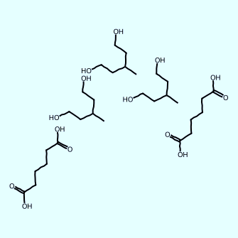 CC(CCO)CCO.CC(CCO)CCO.CC(CCO)CCO.O=C(O)CCCCC(=O)O.O=C(O)CCCCC(=O)O